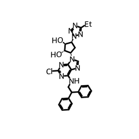 CCc1nnn([C@H]2C[C@H](n3cnc4c(NCC(c5ccccc5)c5ccccc5)nc(Cl)nc43)[C@H](O)[C@H]2O)n1